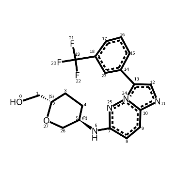 OC[C@@H]1CC[C@@H](Nc2ccc3ncc(-c4cccc(C(F)(F)F)c4)n3n2)CO1